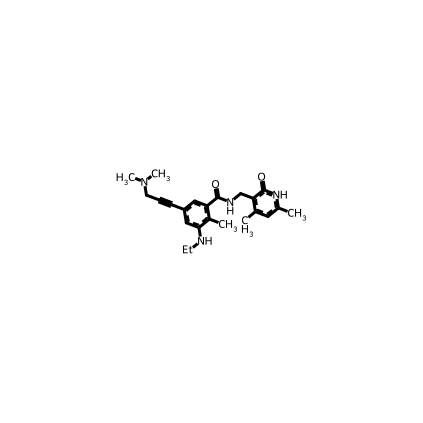 CCNc1cc(C#CCN(C)C)cc(C(=O)NCc2c(C)cc(C)[nH]c2=O)c1C